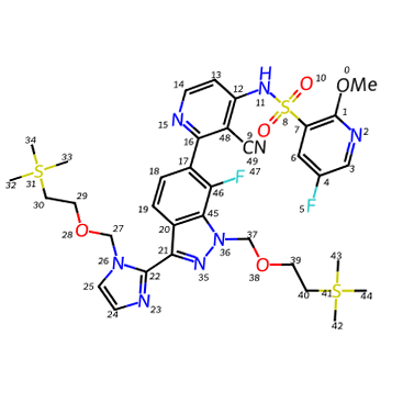 COc1ncc(F)cc1S(=O)(=O)Nc1ccnc(-c2ccc3c(-c4nccn4COCCS(C)(C)C)nn(COCCS(C)(C)C)c3c2F)c1C#N